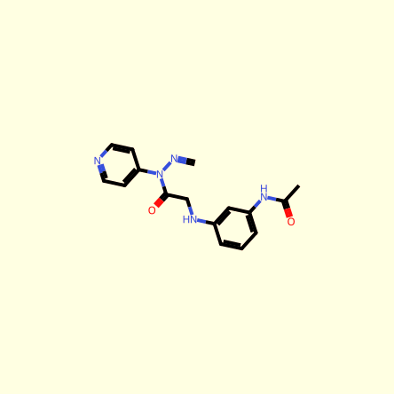 C=NN(C(=O)CNc1cccc(NC(C)=O)c1)c1ccncc1